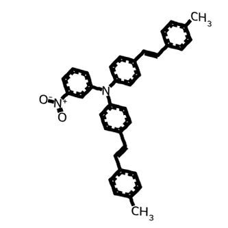 Cc1ccc(C=Cc2ccc(N(c3ccc(C=Cc4ccc(C)cc4)cc3)c3cccc([N+](=O)[O-])c3)cc2)cc1